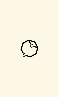 C1CC2CC(CCS1)O2